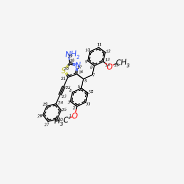 COc1ccc(C(Cc2ccccc2OC)c2nc(N)sc2C#Cc2ccccc2)cc1